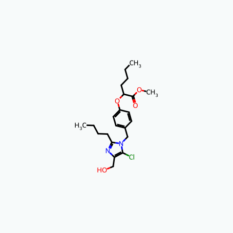 CCCCc1nc(CO)c(Cl)n1Cc1ccc(OC(CCCC)C(=O)OC)cc1